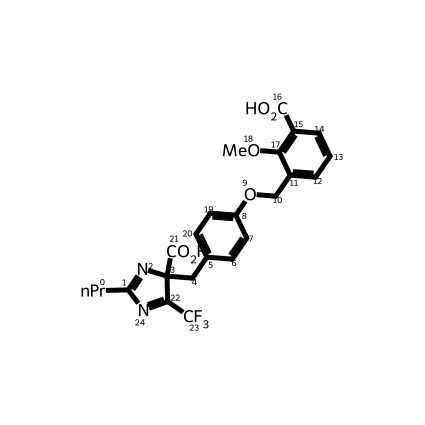 CCCC1=NC(Cc2ccc(OCc3cccc(C(=O)O)c3OC)cc2)(C(=O)O)C(C(F)(F)F)=N1